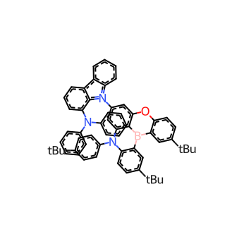 CC(C)(C)c1ccc(N2c3ccc(C(C)(C)C)cc3B3c4cc(C(C)(C)C)ccc4Oc4cc(-n5c6ccccc6c6cccc(N(c7ccccc7)c7ccccc7)c65)cc2c43)cc1